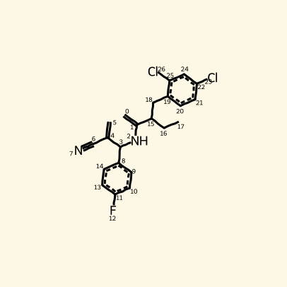 C=C(NC(C(=C)C#N)c1ccc(F)cc1)C(CC)Cc1ccc(Cl)cc1Cl